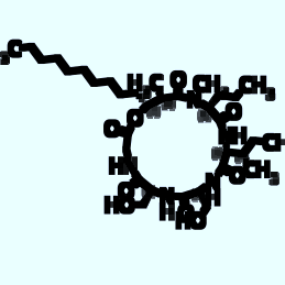 CCCCCCCCCC[C@H]1OC(=O)CNC(=O)[C@H](CO)NC(=O)[C@H](CO)NC(=O)[C@H]([C@@H](C)CC)NC(=O)[C@H](CCC)N(C)C(=O)[C@@H]1C